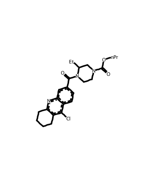 CCCOC(=O)N1CCN(C(=O)c2ccc3c(Cl)c4c(nc3c2)CCCC4)C(CC)C1